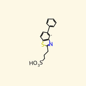 O=S(=O)(O)CCCc1nc2[c]c(-c3ccccc3)ccc2s1